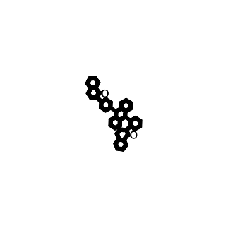 c1ccc2c(c1)ccc1c3ccc(-c4c5ccccc5c(-c5cccc6oc7c8ccccc8ccc7c56)c5ccccc45)cc3oc21